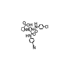 N#Cc1ccc(NC(=O)C2CCCN2C(=O)Nc2ccc(Cl)cc2)cc1.O=C(O)C1CCCN1